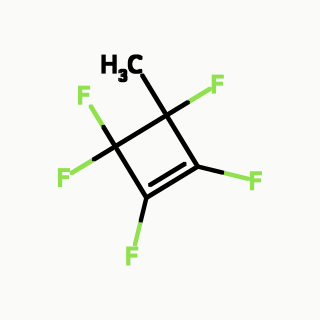 CC1(F)C(F)=C(F)C1(F)F